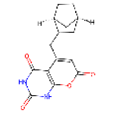 O=c1[nH]c(=O)c2c(CC3C[C@@H]4CC[C@H]3C4)cc(=O)oc2[nH]1